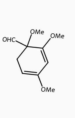 COC1=CCC(C=O)(OC)C(OC)=C1